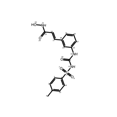 Cc1ccc(S(=O)(=O)NC(=O)Nc2cccc(C=CC(=O)NO)c2)cc1